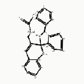 CC(=O)NCC1=Cc2ccccc2OC1(SCc1ccccc1)c1ccccc1